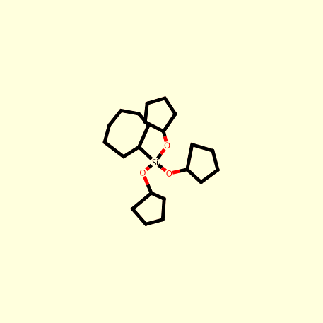 C1CCCC([Si](OC2CCCC2)(OC2CCCC2)OC2CCCC2)CC1